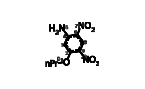 CCCOc1cc(N)c([N+](=O)[O-])cc1[N+](=O)[O-]